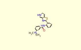 CN(C)c1cccc(C(=O)Nc2ccccc2-c2nc3c(s2)=CCNC=3)c1